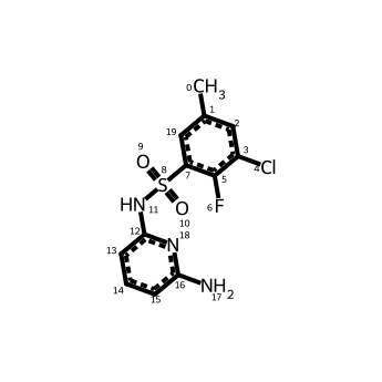 Cc1cc(Cl)c(F)c(S(=O)(=O)Nc2cccc(N)n2)c1